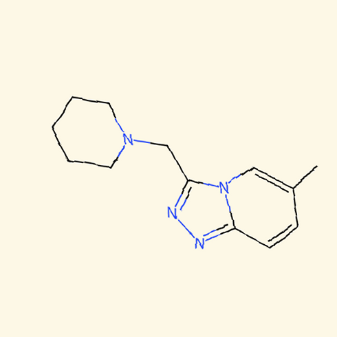 Cc1ccc2nnc(CN3CCCCC3)n2c1